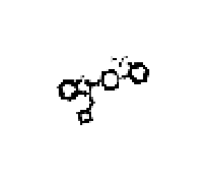 Cc1ccccc1N1CCN(c2nc3ccccc3n2CC2CCC2)CC1